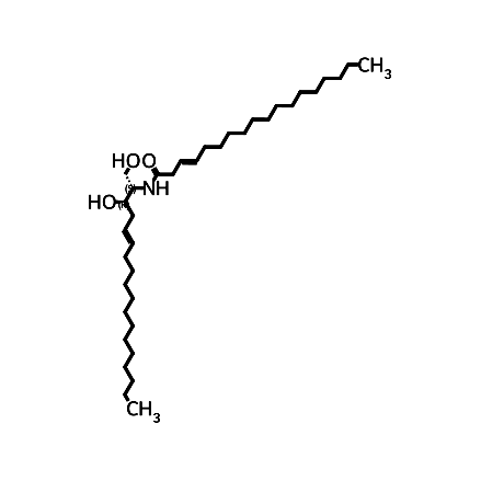 CCCCCCCCCCCCC=CC[C@@H](O)[C@H](CO)NC(=O)CC=CCCCCCCCCCCCCCC